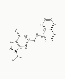 CC(C)n1ncc2c(=O)[nH]c(COc3cccc4cccnc34)nc21